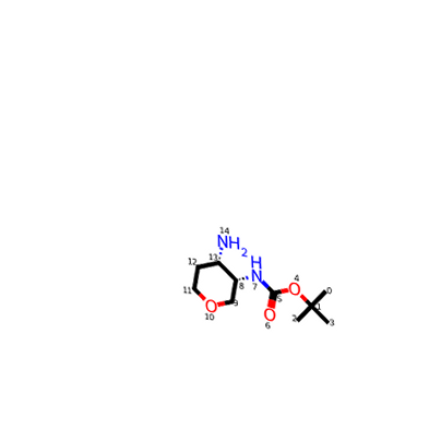 CC(C)(C)OC(=O)N[C@@H]1COCC[C@@H]1N